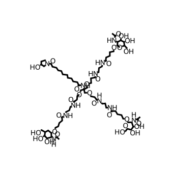 CC(=O)NC1C(OCCCCC(=O)NCCCNC(=O)CCOCC(COCCC(=O)NCCCNC(=O)CCCCOC2OC(CO)C(O)C(O)C2NC(C)=O)(COCCC(=O)NCCCNC(=O)CCCCOC2OC(CO)C(O)C(O)C2NC(C)=O)NC(=O)CCCCCCCCCCC(=O)N2CCC(O)C2)CC(CO)C(O)C1O